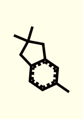 Cc1ccc2c(c1)CC(C)(C)C2